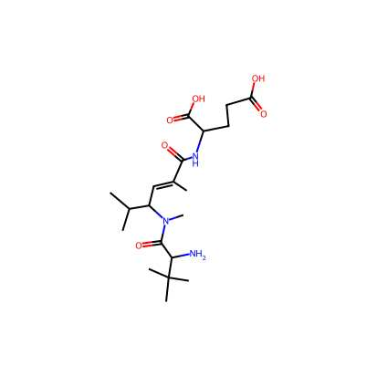 C/C(=C\C(C(C)C)N(C)C(=O)C(N)C(C)(C)C)C(=O)NC(CCC(=O)O)C(=O)O